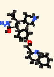 NC(=O)C(=C(c1ccncc1)C1CC1)c1ccc(OCc2ccc3ccccc3n2)cc1